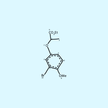 CCOC(=O)C(C)Oc1ccc(OC)c(Br)c1